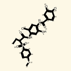 CCC(C(=O)Nc1cc(O)c(NC(=O)c2ccc(Cl)c(Cl)c2)cc1Cl)S(=O)(=O)c1ccc(SC)cc1